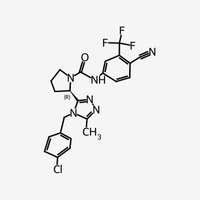 Cc1nnc([C@H]2CCCN2C(=O)Nc2ccc(C#N)c(C(F)(F)F)c2)n1Cc1ccc(Cl)cc1